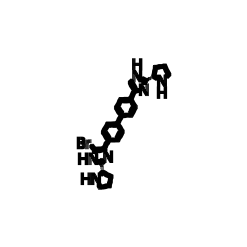 Brc1[nH]c([C@@H]2CCCN2)nc1-c1ccc(-c2ccc(-c3c[nH]c([C@@H]4CCCN4)n3)cc2)cc1